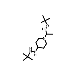 CC(POC(C)(C)C)N1CCC(PNC(C)(C)C)CC1